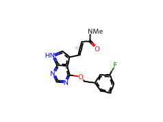 CNC(=O)/C=C/c1c[nH]c2ncnc(OCc3cccc(F)c3)c12